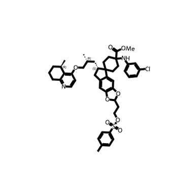 COC(=O)C1(Nc2cccc(Cl)c2)CCC2(CC1)c1cc3c(cc1C[C@@H]2C[C@@H](C)COc1ccnc2c1[C@H](C)CCC2)OC(CCOS(=O)(=O)c1ccc(C)cc1)O3